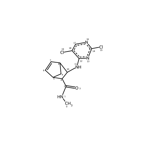 CNC(=O)C1C2C=CC(C2)C1Nc1nc(Cl)ncc1Cl